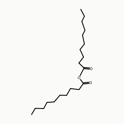 CCCCCCCCCC(=O)OC(=O)CCCCCCCCC